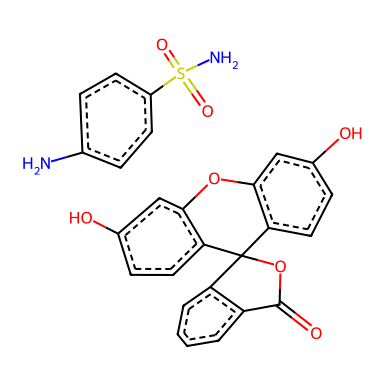 Nc1ccc(S(N)(=O)=O)cc1.O=C1OC2(c3ccc(O)cc3Oc3cc(O)ccc32)c2ccccc21